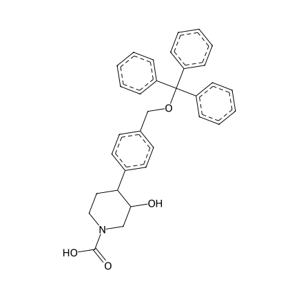 O=C(O)N1CCC(c2ccc(COC(c3ccccc3)(c3ccccc3)c3ccccc3)cc2)C(O)C1